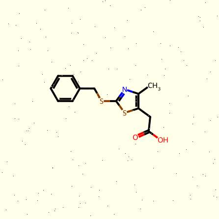 Cc1nc(SCc2ccccc2)sc1CC(=O)O